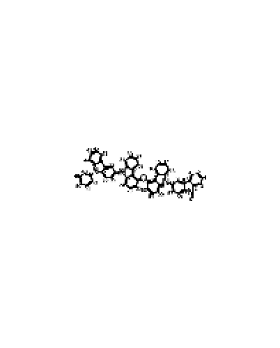 Cn1c2ccccc2c2cc(-n3c4ccccc4c4c(Oc5cccc6c5c5ccccc5n6-c5ccc6c(c5)c5ccccc5n6-c5ccccc5)cccc43)ccc21